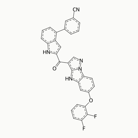 N#Cc1cccc(-c2cccc3[nH]c(C(=O)c4cnn5c4[nH]c4cc(Oc6cccc(F)c6F)ccc45)cc23)c1